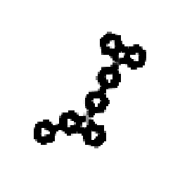 c1ccc(-c2ccc3c(c2)c2ccccc2n3-c2ccc(-c3ccc(-n4c5ccccc5c5ccccc54)cc3)cc2)cc1